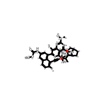 CC1Oc2nc(-c3cc(NC(=O)OC(C)(C)C)cc4ccc(F)c(C#C[Si](C(C)C)(C(C)C)C(C)C)c34)c(F)c3nc([S+](C)[O-])nc(c23)N2CC3CCC(C12)N3C(=O)O